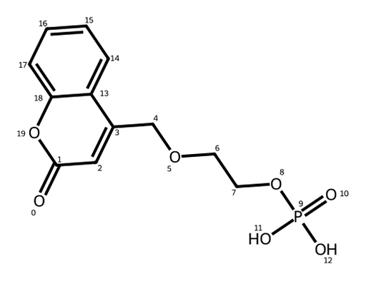 O=c1cc(COCCOP(=O)(O)O)c2ccccc2o1